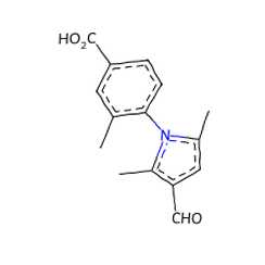 Cc1cc(C(=O)O)ccc1-n1c(C)cc(C=O)c1C